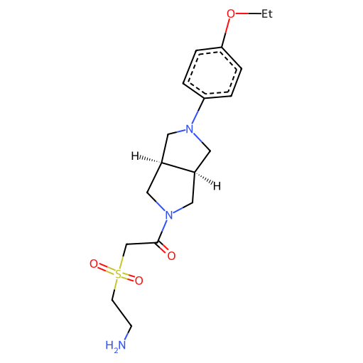 CCOc1ccc(N2C[C@H]3CN(C(=O)CS(=O)(=O)CCN)C[C@H]3C2)cc1